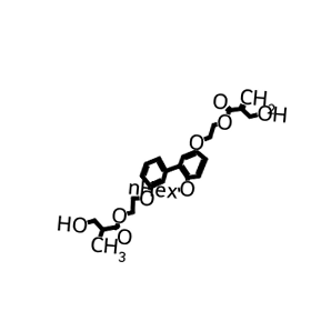 C=C(CO)C(=O)OCCOc1ccc(OCCCCCC)c(-c2cccc(OCCOC(=O)C(C)CO)c2)c1